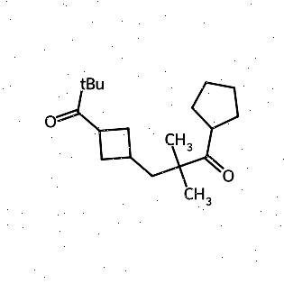 CC(C)(C)C(=O)C1CC(CC(C)(C)C(=O)C2CCCC2)C1